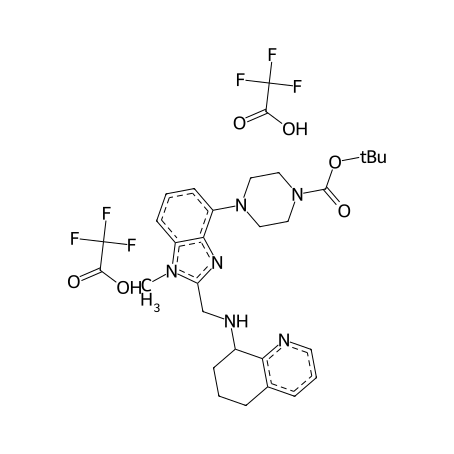 Cn1c(CNC2CCCc3cccnc32)nc2c(N3CCN(C(=O)OC(C)(C)C)CC3)cccc21.O=C(O)C(F)(F)F.O=C(O)C(F)(F)F